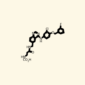 O=C(O)NCCC(=O)NCc1ccc2ncnc(Nc3ccc(OCc4cccc(F)c4)c(Cl)c3)c2c1